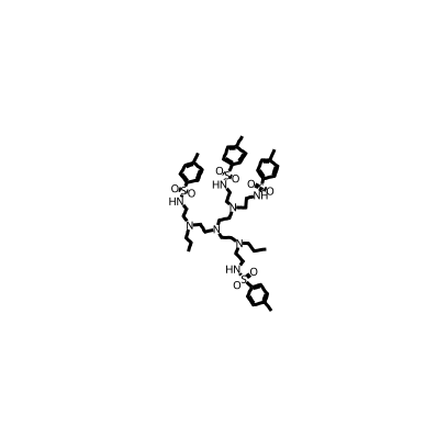 CCCN(CCNS(=O)(=O)c1ccc(C)cc1)CCN(CCN(CCC)CCNS(=O)(=O)c1ccc(C)cc1)CCN(CCNS(=O)(=O)c1ccc(C)cc1)CCNS(=O)(=O)c1ccc(C)cc1